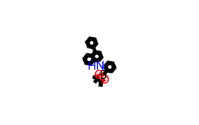 C=C1OB(c2ccccc2Nc2ccc(-c3ccccc3)c3ccccc23)OC1(C)C